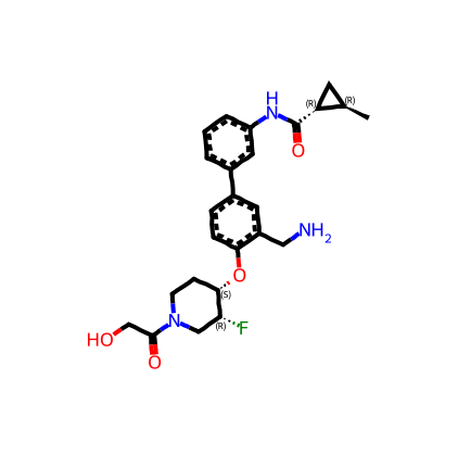 C[C@@H]1C[C@H]1C(=O)Nc1cccc(-c2ccc(O[C@H]3CCN(C(=O)CO)C[C@H]3F)c(CN)c2)c1